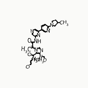 CC1CCN(c2ccc(-c3cncc(NC(=O)[C@H](C)n4cnc(N(C)C=O)c4C(=O)N(C)CC=O)n3)cn2)C1